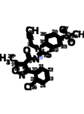 C#CCn1/c(=N\C(=O)c2c(-c3ccccc3Cl)noc2C)sc2cc(S(C)(=O)=O)ccc21